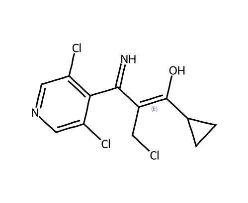 N=C(/C(CCl)=C(\O)C1CC1)c1c(Cl)cncc1Cl